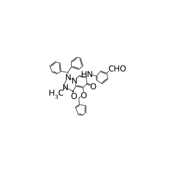 CN1CN(C(c2ccccc2)c2ccccc2)n2cc(Nc3cccc(C=O)c3)c(=O)c(OCc3ccccc3)c2C1=O